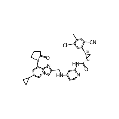 Cc1cc(C#N)c([C@H]2C[C@@H]2C(=O)Nc2cc(NCc3cn4cc(C5CC5)cc(N5CCCC5=O)c4n3)ccn2)cc1Cl